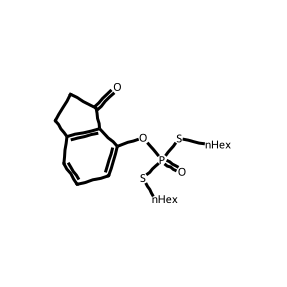 CCCCCCSP(=O)(Oc1cccc2c1C(=O)CC2)SCCCCCC